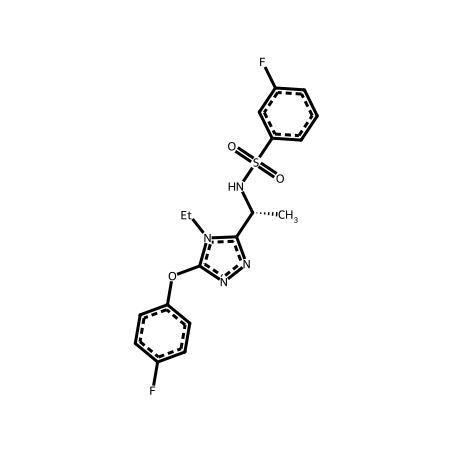 CCn1c(Oc2ccc(F)cc2)nnc1[C@@H](C)NS(=O)(=O)c1cccc(F)c1